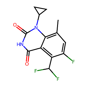 Cc1cc(F)c(C(F)F)c2c(=O)[nH]c(=O)n(C3CC3)c12